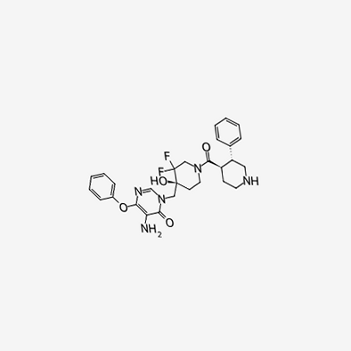 Nc1c(Oc2ccccc2)ncn(C[C@@]2(O)CCN(C(=O)[C@@H]3CCNC[C@H]3c3ccccc3)CC2(F)F)c1=O